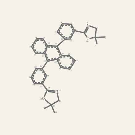 CC1(C)CN=C(c2cccc(-c3c4ccccc4c(-c4cccc(C5=NCC(C)(C)O5)c4)c4ccccc34)c2)O1